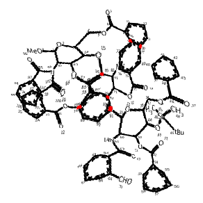 COC1OC(COC(=O)c2ccccc2)C(OC2OC(COC(=O)c3ccccc3)C(OC3OC(COC(=O)c4ccccc4)C(O[Si](C)(C)C(C)(C)C)C(OC(=O)c4ccccc4)C3NC(=O)c3ccccc3C=O)C(OC(=O)c3ccccc3)C2N)C(OC(=O)c2ccccc2)C1N1C(=O)c2ccccc2C1=O